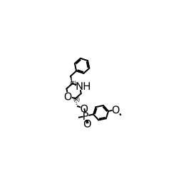 COc1ccc(P(C)(=O)OC[C@H]2CN[C@H](Cc3ccccc3)CO2)cc1